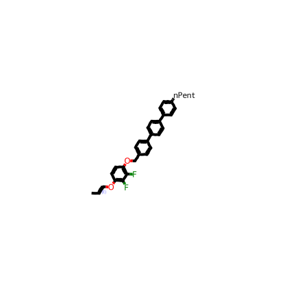 C/C=C/Oc1ccc(OCc2ccc(-c3ccc(-c4ccc(CCCCC)cc4)cc3)cc2)c(F)c1F